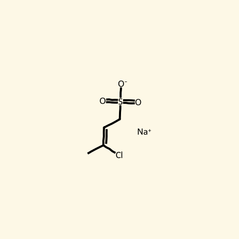 C/C(Cl)=C/CS(=O)(=O)[O-].[Na+]